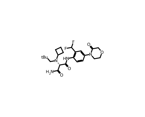 CC(C)(C)CN(C1CCC1)[C@@H](C(N)=O)C(=O)Nc1ccc(N2CCOCC2=O)cc1C(F)F